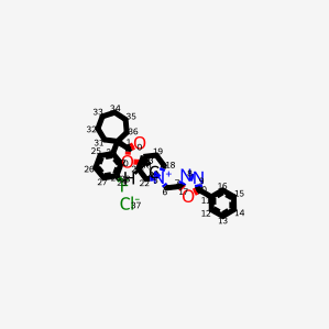 O=C(O[C@H]1C[N+]2(Cc3nnc(-c4ccccc4)o3)CCC1CC2)C1(c2cccc(F)c2)CCCCCC1.[Cl-]